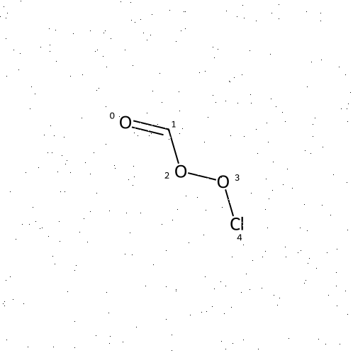 O=COOCl